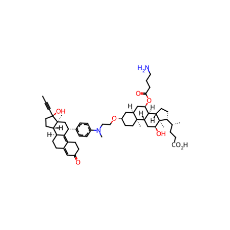 CC#C[C@@]1(O)CC[C@H]2[C@@H]3CCC4=CC(=O)CCC4=C3[C@@H](c3ccc(N(C)CCO[C@H]4CC[C@@]5(C)[C@@H](C4)C[C@@H](OC(=O)CCCN)[C@@H]4[C@@H]5C[C@H](O)[C@]5(C)[C@@H]([C@H](C)CCC(=O)O)CC[C@@H]45)cc3)C[C@@]21C